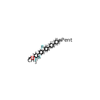 C/C=C\Oc1ccc(-c2ccc(-c3ccc(C4=CCC(C5CCC(CCCCC)CC5)CC4)cc3F)cc2)c(F)c1F